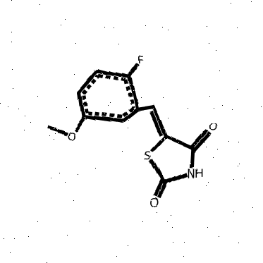 COc1ccc(F)c(/C=C2\SC(=O)NC2=O)c1